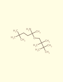 CC(C)(C)CCC(C)(N)OCC(C)(C)C(C)(C)C